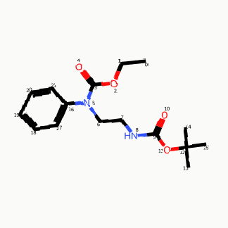 CCOC(=O)N(CCNC(=O)OC(C)(C)C)c1ccccc1